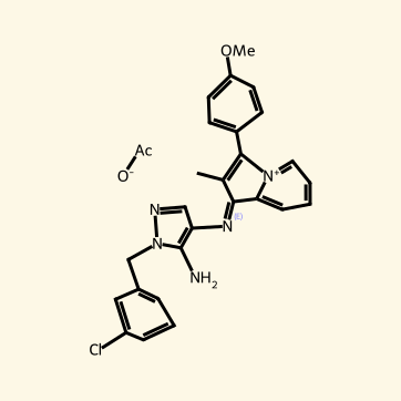 CC(=O)[O-].COc1ccc(C2=C(C)/C(=N\c3cnn(Cc4cccc(Cl)c4)c3N)c3cccc[n+]32)cc1